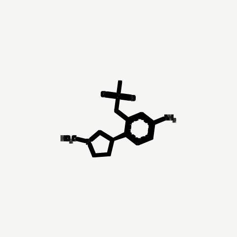 CS(=O)(=O)Cc1cc(N)ccc1[C@H]1CCN(C(=O)O)C1